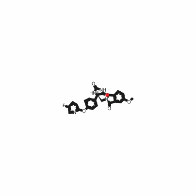 COc1ccc2c(c1)C(=O)N(C[C@@]1(c3ccc(Oc4ccc(F)cn4)cc3)NC(=O)NC1=O)C2